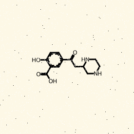 O=C(CC1CNCCN1)c1ccc(O)c(C(=O)O)c1